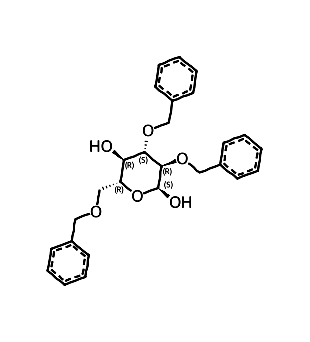 O[C@H]1[C@H](OCc2ccccc2)[C@@H](OCc2ccccc2)[C@@H](O)O[C@@H]1COCc1ccccc1